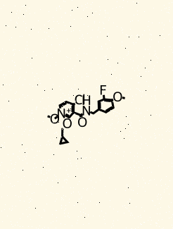 COc1ccc(CNC(=O)c2c(Cl)cc[n+](OC)c2OCC2CC2)cc1F